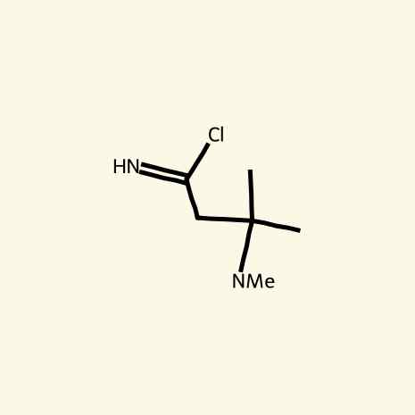 CNC(C)(C)CC(=N)Cl